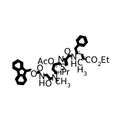 CCOC(=O)[C@@H](C)C[C@@H](Cc1ccccc1)NC(=O)c1csc([C@@H](C[C@H](C(C)C)N(C)C(=O)CNC(=O)OCC2c3ccccc3-c3ccccc32)OC(C)=O)n1